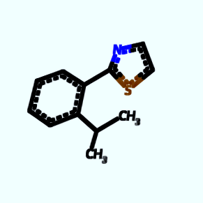 CC(C)c1ccccc1-c1nccs1